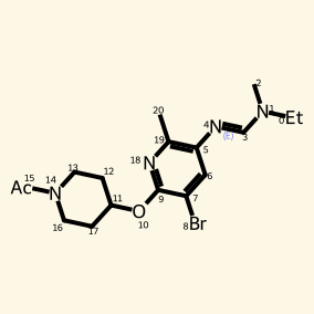 CCN(C)/C=N/c1cc(Br)c(OC2CCN(C(C)=O)CC2)nc1C